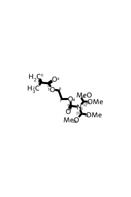 C=C(C)C(=O)OCCOC(=O)N(C(OC)OC)C(OC)OC